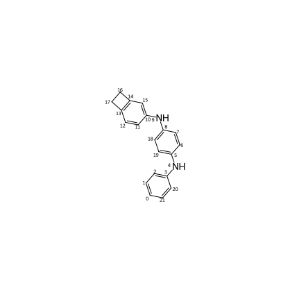 c1ccc(Nc2ccc(Nc3ccc4c(c3)CC4)cc2)cc1